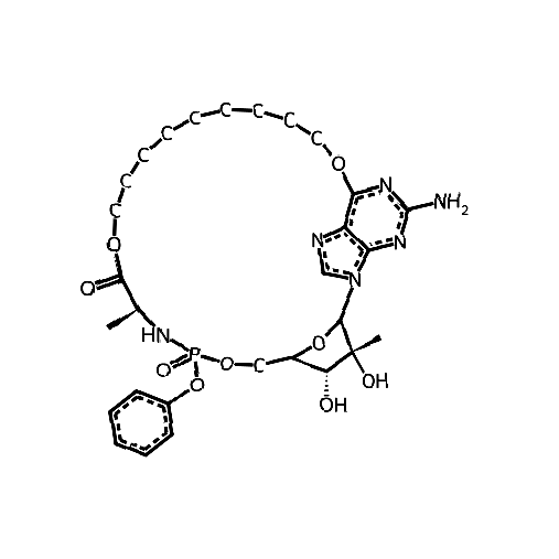 C[C@@H]1NP(=O)(Oc2ccccc2)OCC2OC(n3cnc4c(nc(N)nc43)OCCCCCCCCCOC1=O)[C@](C)(O)[C@@H]2O